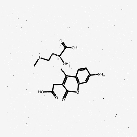 CSCC[C@H](N)C(=O)O.Cc1c(CC(=O)O)c(=O)oc2cc(N)ccc12